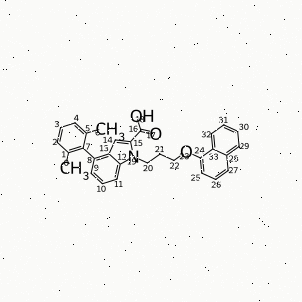 Cc1cccc(C)c1-c1cccc2c1cc(C(=O)O)n2CCCOc1cccc2ccccc12